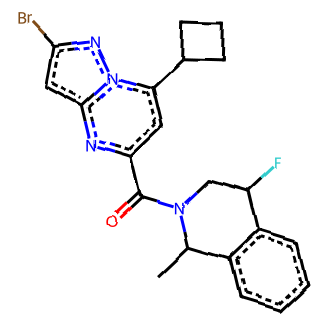 CC1c2ccccc2C(F)CN1C(=O)c1cc(C2CCC2)n2nc(Br)cc2n1